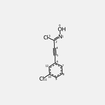 O/N=C(\Cl)C#Cc1cccc(Cl)c1